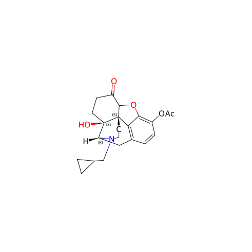 CC(=O)Oc1ccc2c3c1OC1C(=O)CC[C@@]4(O)[C@@H](C2)N(CC2CC2)CC[C@]314